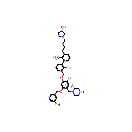 Cc1c(CCCCN2CC[C@@H](O)C2)cccc1-c1cccc(COc2cc(OCc3cncc(C#N)c3)c(CN3CCNC[C@H]3C(=O)O)cc2Cl)c1C